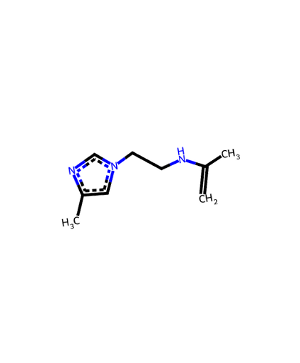 C=C(C)NCCn1cnc(C)c1